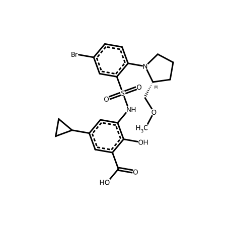 COC[C@H]1CCCN1c1ccc(Br)cc1S(=O)(=O)Nc1cc(C2CC2)cc(C(=O)O)c1O